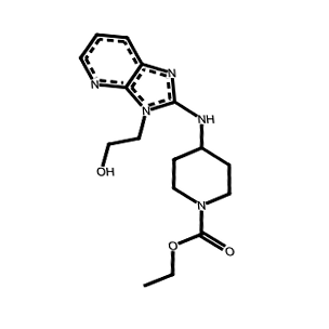 CCOC(=O)N1CCC(Nc2nc3cccnc3n2CCO)CC1